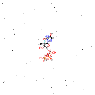 C#CC1(F)[C@@H](O)[C@@H](COP(=O)(O)OP(=O)(O)OP(=O)(O)O)O[C@H]1n1ncc(=O)[nH]c1=O